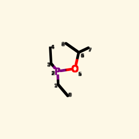 CCP(CC)OC(C)C